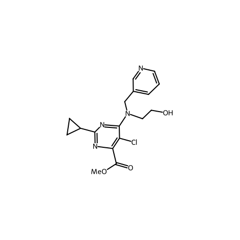 COC(=O)c1nc(C2CC2)nc(N(CCO)Cc2cccnc2)c1Cl